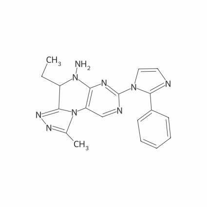 CCC1c2nnc(C)n2-c2cnc(-n3ccnc3-c3ccccc3)nc2N1N